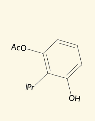 CC(=O)Oc1cccc(O)c1C(C)C